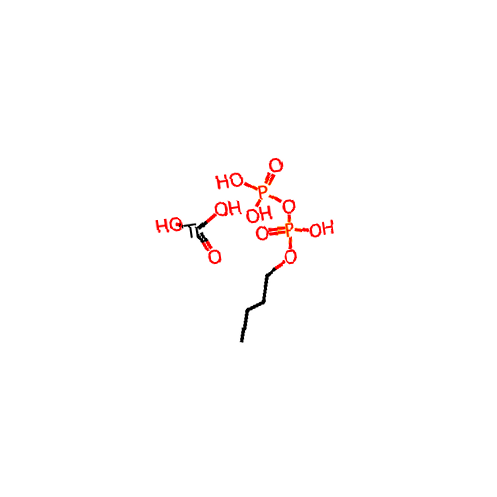 CCCCOP(=O)(O)OP(=O)(O)O.[O]=[Ti]([OH])[OH]